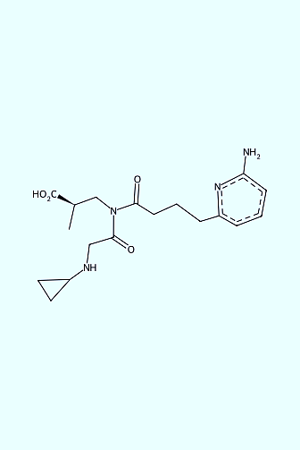 C[C@H](CN(C(=O)CCCc1cccc(N)n1)C(=O)CNC1CC1)C(=O)O